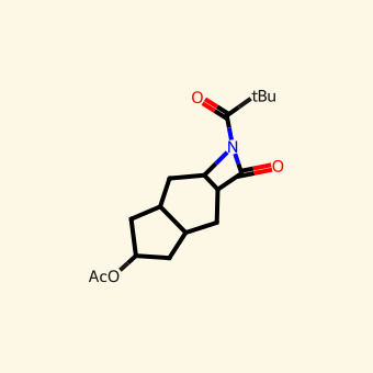 CC(=O)OC1CC2CC3C(=O)N(C(=O)C(C)(C)C)C3CC2C1